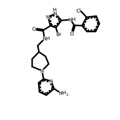 Nc1cccc(N2CCC(CNC(=O)c3n[nH]c(NC(=O)c4ccccc4Cl)c3Br)CC2)n1